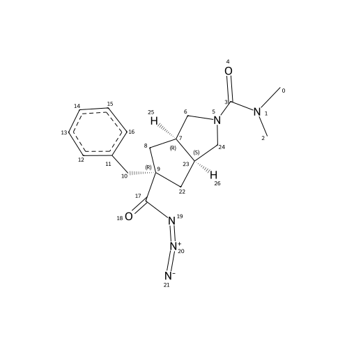 CN(C)C(=O)N1C[C@@H]2C[C@](Cc3ccccc3)(C(=O)N=[N+]=[N-])C[C@@H]2C1